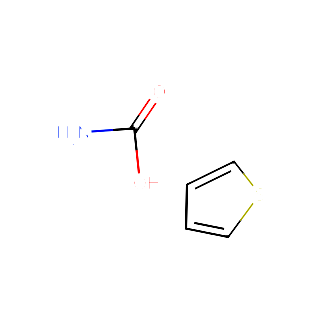 NC(=O)O.c1ccsc1